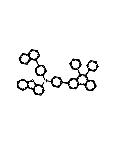 c1ccc(-c2c(-c3ccccc3)c3cc(-c4ccc(N(c5ccc(-c6cccc7ccccc67)cc5)c5cccc6c5sc5ccccc56)cc4)ccc3c3ccccc23)cc1